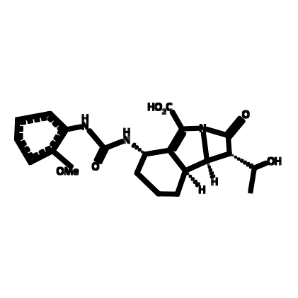 COc1ccccc1NC(=O)N[C@H]1CCC[C@H]2C1=C(C(=O)O)N1C(=O)[C@H](C(C)O)[C@@H]21